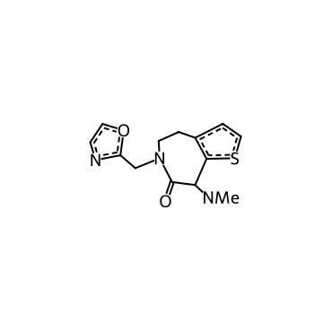 CNC1C(=O)N(Cc2ncco2)CCc2ccsc21